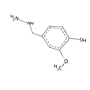 COc1cc(CNN)ccc1O